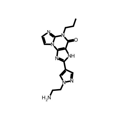 CCCn1c(=O)c2[nH]c(-c3cnn(CCN)c3)nc2n2ccnc12